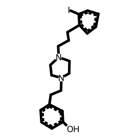 Oc1cccc(CCN2CCN(CCCc3ccccc3I)CC2)c1